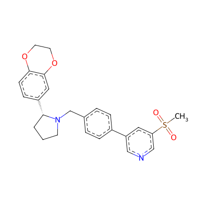 CS(=O)(=O)c1cncc(-c2ccc(CN3CCC[C@@H]3c3ccc4c(c3)OCCO4)cc2)c1